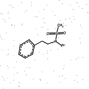 CC(C)N(CCc1ccccc1)S(C)(=O)=O